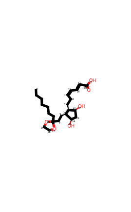 CCCCCCCC1(CC[C@H]2[C@@H](CC/C=C\C=CC(=O)O)[C@@H](O)C[C@H]2O)OCCO1